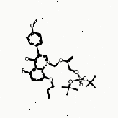 C=C(COP(=O)(OC(C)(C)C)OC(C)(C)C)OCn1cc(-c2ccc(OC)cc2)c(=O)c2c(F)ccc(OCCC)c21